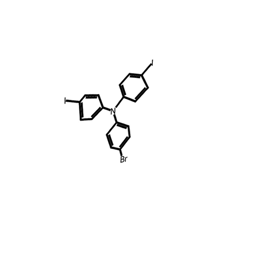 Brc1ccc(N(c2ccc(I)cc2)c2ccc(I)cc2)cc1